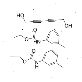 CCOC(=O)Nc1cccc(C)c1.CCOC(=O)Nc1cccc(C)c1.OCC#CC#CCO